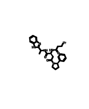 CC(C)CCC(=O)N[C@@H](CC(=O)N1CCC[C@@H]1c1ccccc1)C(=O)NC(C)c1nc2ccccc2[nH]1